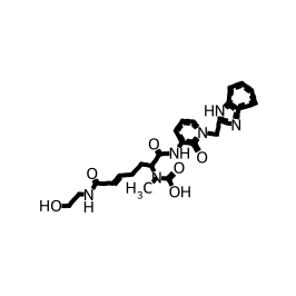 CN(C(=O)O)C(CCC=CC(=O)NCCO)C(=O)Nc1cccn(Cc2nc3ccccc3[nH]2)c1=O